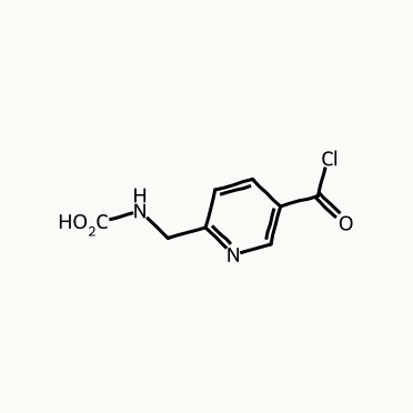 O=C(O)NCc1ccc(C(=O)Cl)cn1